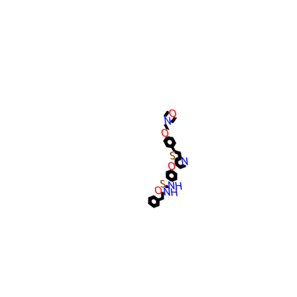 O=C(Cc1ccccc1)NC(=S)Nc1ccc(Oc2ccnc3cc(-c4ccc(OCCN5CCOCC5)cc4)sc23)cc1